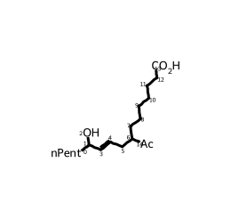 CCCCCC(O)C=CCC(CCCCCCC(=O)O)C(C)=O